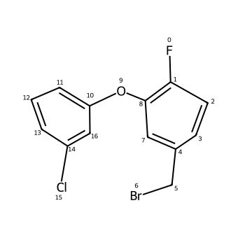 Fc1ccc(CBr)cc1Oc1cccc(Cl)c1